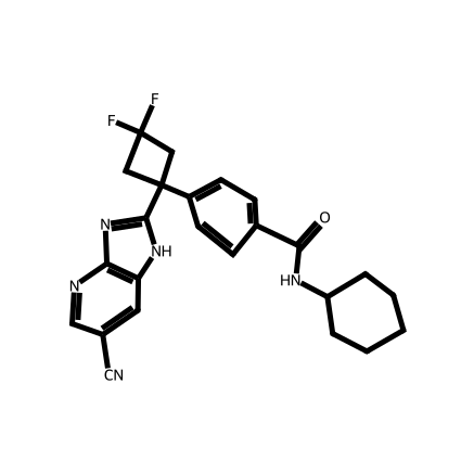 N#Cc1cnc2nc(C3(c4ccc(C(=O)NC5CCCCC5)cc4)CC(F)(F)C3)[nH]c2c1